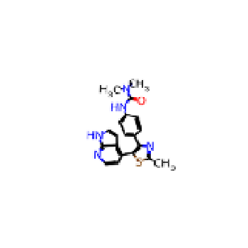 Cc1nc(-c2ccc(NC(=O)N(C)C)cc2)c(-c2ccnc3[nH]ccc23)s1